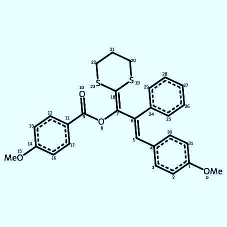 COc1ccc(C=C(C(OC(=O)c2ccc(OC)cc2)=C2SCCCS2)c2ccccc2)cc1